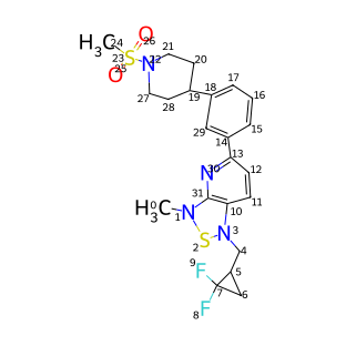 CN1SN(CC2CC2(F)F)c2ccc(-c3cccc(C4CCN(S(C)(=O)=O)CC4)c3)nc21